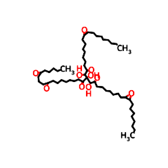 CCCCCCCCC1OC1CCCCCCCC(=O)C(O)C(O)(C(=O)CCCCCCCC1OC1CC1OC1CCCCC)C(O)C(=O)CCCCCCCC1OC1CCCCCCCC